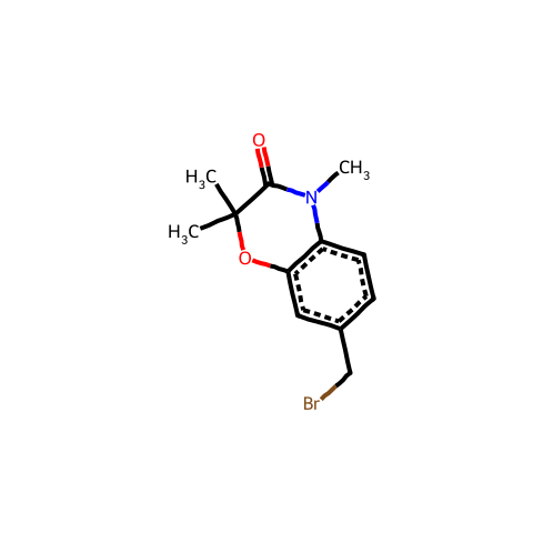 CN1C(=O)C(C)(C)Oc2cc(CBr)ccc21